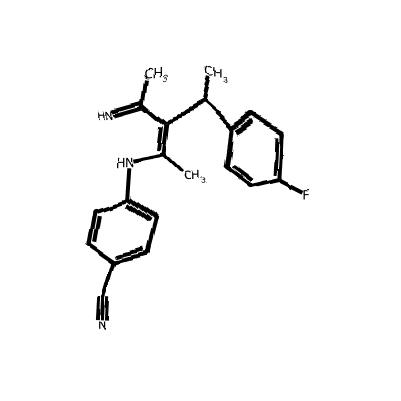 CC(=N)/C(=C(/C)Nc1ccc(C#N)cc1)C(C)c1ccc(F)cc1